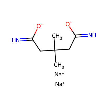 CC(C)(CC(=N)[O-])CC(=N)[O-].[Na+].[Na+]